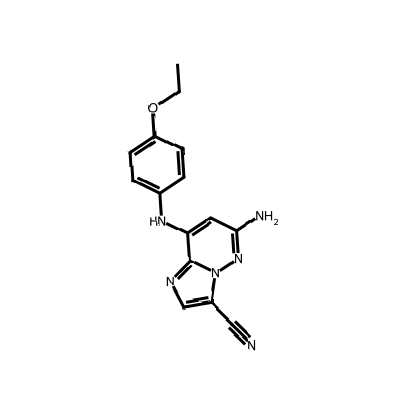 CCOc1ccc(Nc2cc(N)nn3c(C#N)cnc23)cc1